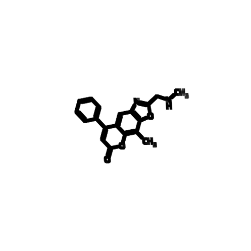 CNCc1nc2cc3c(-c4ccccc4)cc(=O)oc3c(C)c2o1